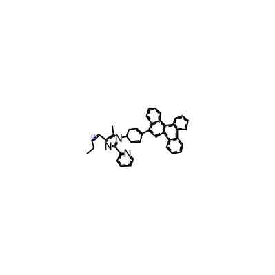 CC/C=C\c1nc(-c2ccccn2)n(C2C=CC(c3cc4c5ccccc5c5ccccc5c4c4ccccc34)=CC2)c1C